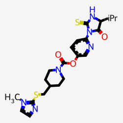 CC(C)C1NC(=S)N(c2ccc(OC(=O)N3CCC(CSc4nccn4C)CC3)cn2)C1=O